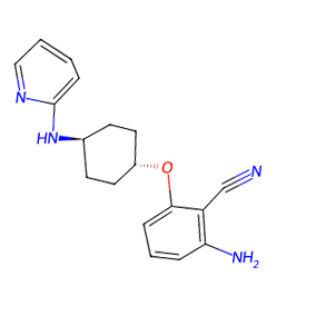 N#Cc1c(N)cccc1O[C@H]1CC[C@H](Nc2ccccn2)CC1